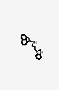 c1cc2c3c(cccc3c1)C(NCCCn1cnc3ccccc31)=N2